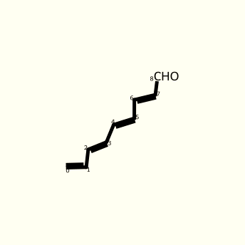 C=CC=CC=CC=CC=O